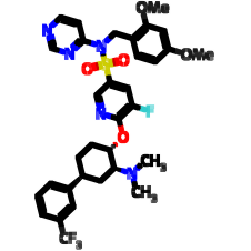 COc1ccc(CN(c2ccncn2)S(=O)(=O)c2cnc(O[C@H]3CC[C@H](c4cccc(C(F)(F)F)c4)C[C@@H]3N(C)C)c(F)c2)c(OC)c1